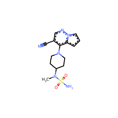 CN(C1CCN(c2c(C#N)cnn3cccc23)CC1)S(N)(=O)=O